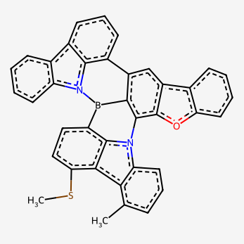 CSc1ccc2c3c1c1c(C)cccc1n3-c1c3c(cc4c1oc1ccccc14)-c1cccc4c5ccccc5n(c14)B32